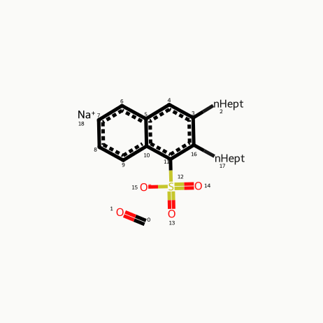 C=O.CCCCCCCc1cc2ccccc2c(S(=O)(=O)[O-])c1CCCCCCC.[Na+]